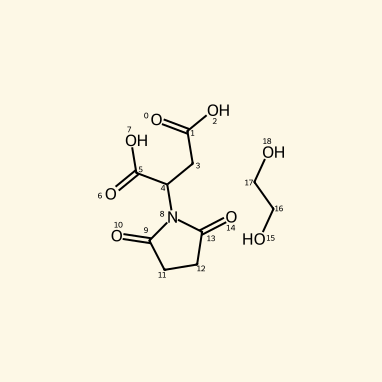 O=C(O)CC(C(=O)O)N1C(=O)CCC1=O.OCCO